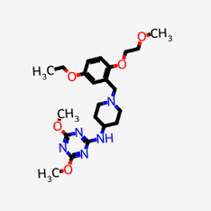 CCOc1ccc(OCCOC)c(CN2CCC(Nc3nc(OC)nc(OC)n3)CC2)c1